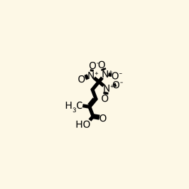 C/C(=C\CC([N+](=O)[O-])([N+](=O)[O-])[N+](=O)[O-])C(=O)O